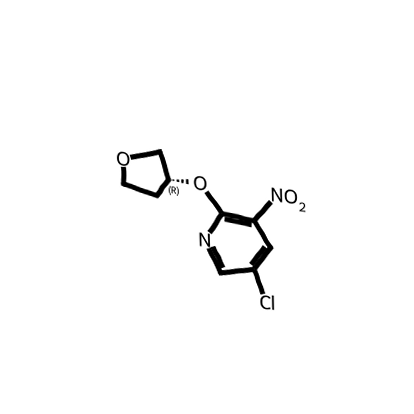 O=[N+]([O-])c1cc(Cl)cnc1O[C@@H]1CCOC1